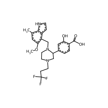 COc1cc(C)c2[nH]ccc2c1CN1CCN(CCC(F)(F)F)CC1c1ccc(C(=O)O)c(O)c1